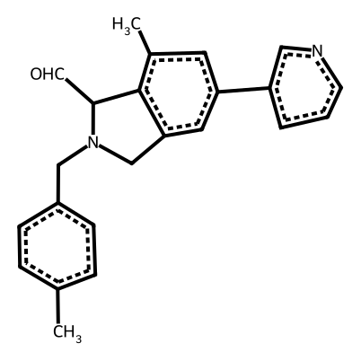 Cc1ccc(CN2Cc3cc(-c4cccnc4)cc(C)c3C2C=O)cc1